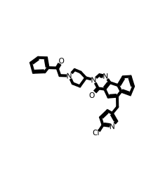 O=C(CN1CCC(n2cnc3c(cc(Cc4ccc(Cl)nc4)c4ccccc43)c2=O)CC1)c1ccccc1